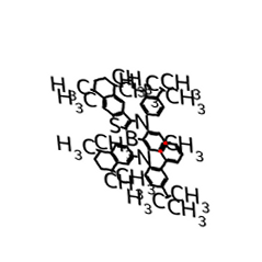 Cc1cc2c3c(c1)N(c1ccc(C(C)(C)C)cc1)c1c(sc4cc5c(cc14)C(C)(C)CCC5(C)C)B3c1cc3c(cc1N2c1ccc(C(C)(C)C)cc1-c1ccccc1)C(C)(C)CCC3(C)C